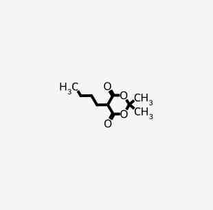 CCCCC1C(=O)OC(C)(C)OC1=O